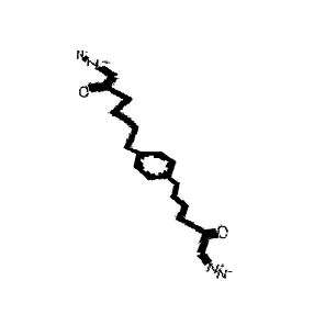 [N-]=[N+]=CC(=O)CCCCc1ccc(CCCCC(=O)C=[N+]=[N-])cc1